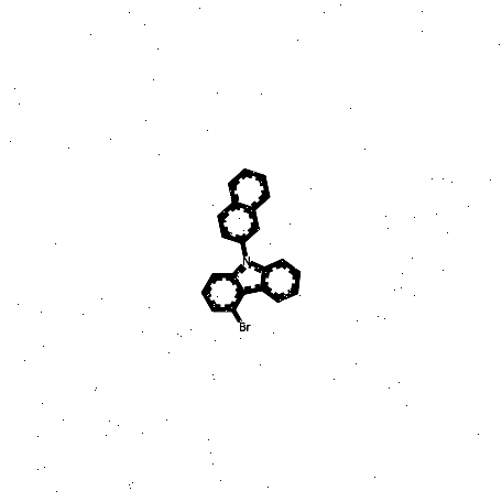 Brc1cccc2c1c1ccccc1n2-c1ccc2ccccc2c1